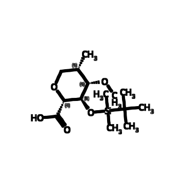 CO[C@@H]1[C@@H](O[Si](C)(C)C(C)(C)C)[C@H](C(=O)O)OC[C@@H]1C